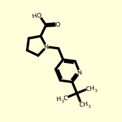 CC(C)(C)c1ccc(CN2CCCC2C(=O)O)cn1